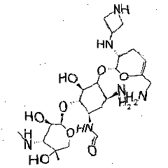 CN[C@@H]1[C@@H](O)[C@@H](O[C@H]2[C@H](NC=O)C[C@H](N)C(O[C@H]3OC(CN)=CC[C@H]3NC3CNC3)[C@@H]2O)OC[C@]1(C)O